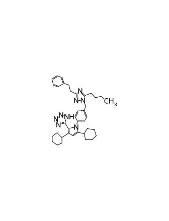 CCCCc1nc(CCc2ccccc2)nn1Cc1ccc(-n2c(C3CCCCC3)cc(C3CCCCC3)c2-c2nnn[nH]2)cc1